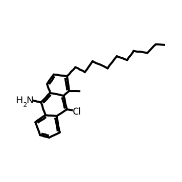 CCCCCCCCCCc1ccc2c(N)c3ccccc3c(Cl)c2c1C